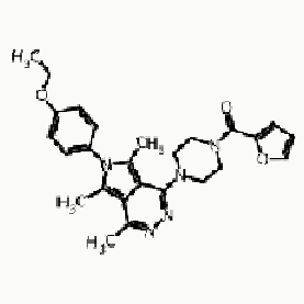 CCOc1ccc(-n2c(C)c3c(C)nnc(N4CCN(C(=O)c5ccco5)CC4)c3c2C)cc1